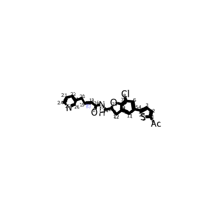 CC(=O)c1ccc(-c2cc(Cl)c3c(c2)CC(CNC(=O)/C=C/Cc2cccnc2)O3)s1